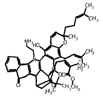 COC(=O)/C(C)=C\CC12OC(C)(C)C3CC(C1=O)C1C4=C(c5ccccc5C4=O)N(CCN)C4=C1C32Oc1c(CC=C(C)C)c2c(c(O)c14)C=CC(C)(CCC=C(C)C)O2